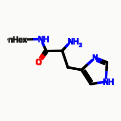 CCCCC[CH]NC(=O)C(N)Cc1c[nH]cn1